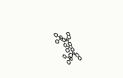 c1ccc(-c2oc3cc(N(c4ccc5c(c4)C(c4ccccc4)(c4ccccc4)c4cc(N(c6ccc7ccccc7c6)c6ccc7c(-c8ccccc8)c(-c8ccccc8)oc7c6)ccc4-5)c4ccc5ccccc5c4)ccc3c2-c2ccccc2)cc1